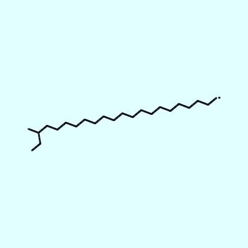 [CH2]CCCCCCCCCCCCCCCCCCC(C)CC